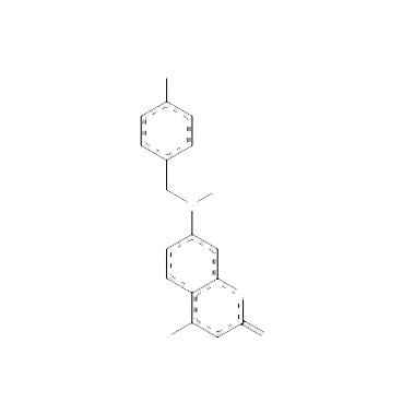 Cc1cc(=O)oc2cc(N(C)Cc3ccc(F)cc3)ccc12